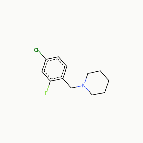 Fc1cc(Cl)ccc1CN1CCCCC1